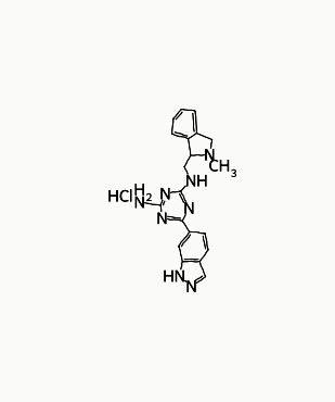 CN1Cc2ccccc2C1CNc1nc(N)nc(-c2ccc3cn[nH]c3c2)n1.Cl